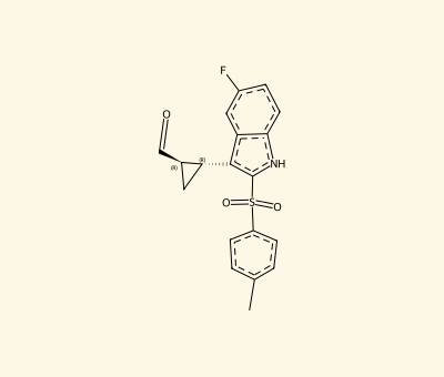 Cc1ccc(S(=O)(=O)c2[nH]c3ccc(F)cc3c2[C@@H]2C[C@H]2C=O)cc1